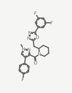 Cn1cc(-c2ccc(F)cc2)c(C(=O)N2CCCCC2Cc2nnc(-c3cc(F)cc(F)c3)o2)n1